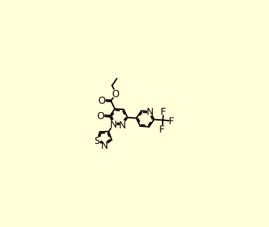 CCOC(=O)c1cc(-c2ccc(C(F)(F)F)nc2)nn(-c2cnsc2)c1=O